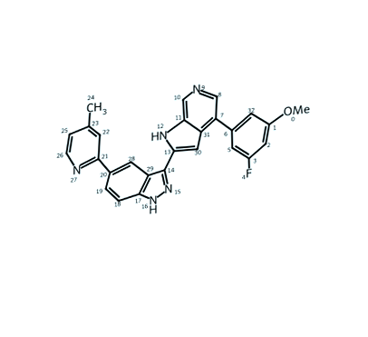 COc1cc(F)cc(-c2cncc3[nH]c(-c4n[nH]c5ccc(-c6cc(C)ccn6)cc45)cc23)c1